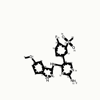 COc1ccc2[nH]nc(Nc3nc(N)ncc3-c3ccc(F)c(S(C)(=O)=O)c3)c2c1